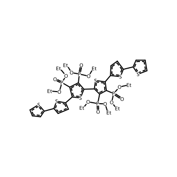 CCOP(=O)(OCC)c1c(-c2ccc(-c3cccs3)s2)sc(-c2sc(-c3ccc(-c4cccs4)s3)c(P(=O)(OCC)OCC)c2P(=O)(OCC)OCC)c1P(=O)(OCC)OCC